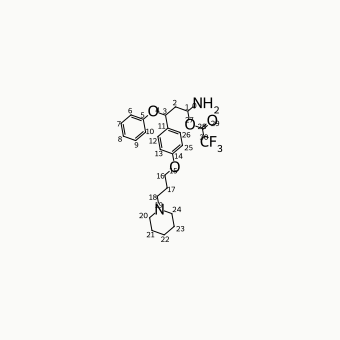 NC(CC(Oc1ccccc1)c1ccc(OCCCN2CCCCC2)cc1)OC(=O)C(F)(F)F